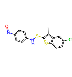 Cc1c(SNc2ccc(N=O)cc2)sc2ccc(Cl)cc12